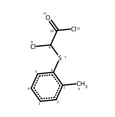 Cc1ccccc1SC(Cl)C(=O)Cl